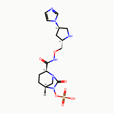 O=C(NOC[C@@H]1C[C@@H](n2ccnc2)CN1)[C@@H]1CC[C@@H]2CN1C(=O)N2OS(=O)(=O)O